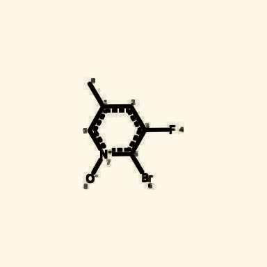 Cc1cc(F)c(Br)[n+]([O-])c1